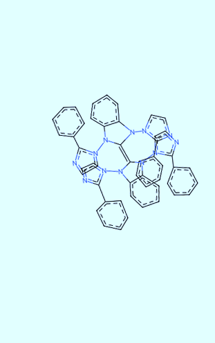 c1ccc(-c2nccn2N2C(=C3N(n4ccnc4-c4ccccc4)c4ccccc4N3n3ccnc3-c3ccccc3)N(n3ccnc3-c3ccccc3)c3ccccc32)cc1